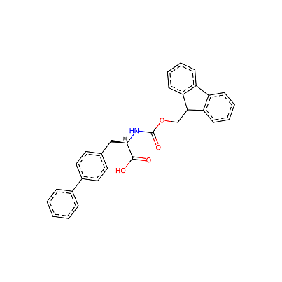 O=C(N[C@H](Cc1ccc(-c2ccccc2)cc1)C(=O)O)OCC1c2ccccc2-c2ccccc21